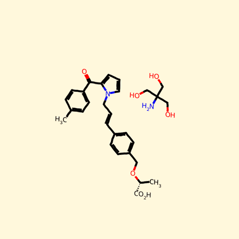 Cc1ccc(C(=O)c2cccn2CC=Cc2ccc(CO[C@H](C)C(=O)O)cc2)cc1.NC(CO)(CO)CO